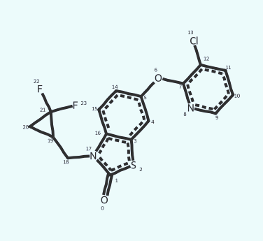 O=c1sc2cc(Oc3ncccc3Cl)ccc2n1CC1CC1(F)F